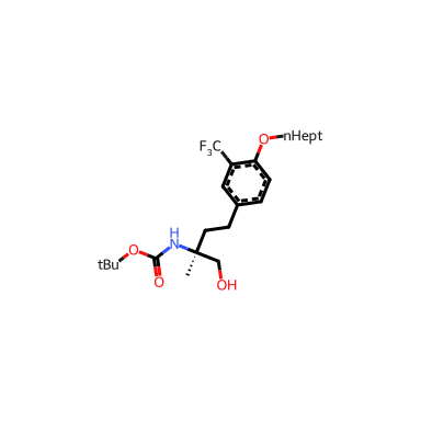 CCCCCCCOc1ccc(CC[C@@](C)(CO)NC(=O)OC(C)(C)C)cc1C(F)(F)F